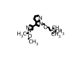 CCOC(C)n1cc(-c2cn(COCC[Si](C)(C)C)c3ncccc23)cn1